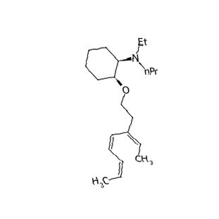 C\C=C/C=C\C(=C/C)CCO[C@H]1CCCC[C@H]1N(CC)CCC